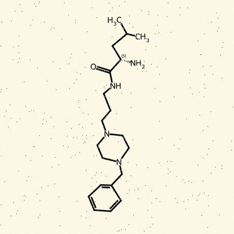 CC(C)C[C@H](N)C(=O)NCCCN1CCN(Cc2ccccc2)CC1